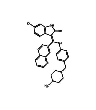 CN1CCN(Cc2ccc(N/C(=C3\C(=O)Nc4cc(Cl)ccc43)c3ccc4cccnc4c3)cc2)CC1